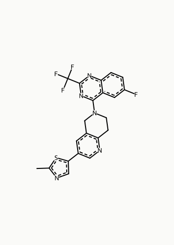 Cc1ncc(-c2cnc3c(c2)CN(c2nc(C(F)(F)F)nc4ccc(F)cc24)CC3)s1